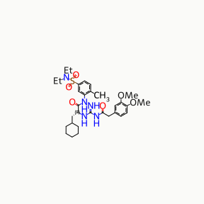 CCN(CC)S(=O)(=O)c1ccc(C)c(NC(=O)[C@@H](CC2CCCCC2)NC(=N)NC(=O)Cc2ccc(OC)c(OC)c2)c1